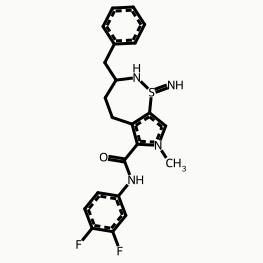 Cn1cc2c(c1C(=O)Nc1ccc(F)c(F)c1)CCC(Cc1ccccc1)NS2=N